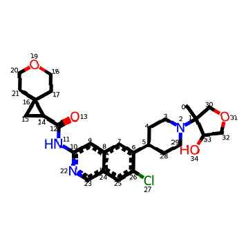 CC1(N2CCC(c3cc4cc(NC(=O)C5CC56CCOCC6)ncc4cc3Cl)CC2)COCC1O